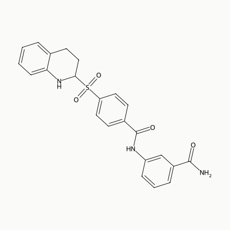 NC(=O)c1cccc(NC(=O)c2ccc(S(=O)(=O)C3CCc4ccccc4N3)cc2)c1